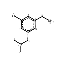 CN(C)Cc1cc(Cl)cc(CN)c1